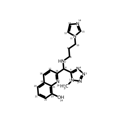 Cn1nnnc1C(NCCCn1ccnc1)c1ccc2cccc(O)c2n1